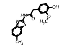 COc1cc(CC(=O)Nc2nc3ccc(C)cc3s2)ccc1O